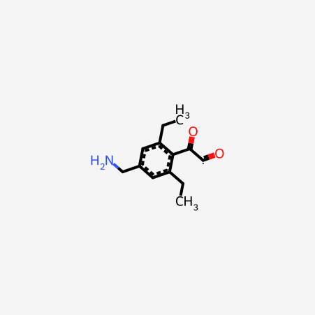 CCc1cc(CN)cc(CC)c1C(=O)[C]=O